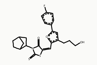 O=C1/C(=C\c2oc(-c3ccc(F)cc3)cc2CCCO)SC(=S)N1C1CC2CCC1C2